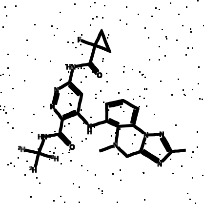 [2H]C([2H])([2H])NC(=O)c1nnc(NC(=O)C2(F)CC2)cc1Nc1cccc2c1N(C)Cc1nc(C)nn1-2